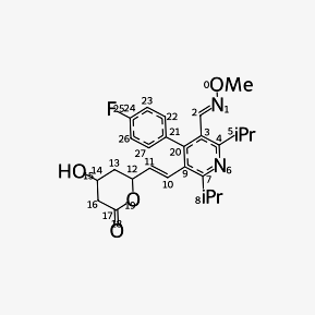 CON=Cc1c(C(C)C)nc(C(C)C)c(C=CC2CC(O)CC(=O)O2)c1-c1ccc(F)cc1